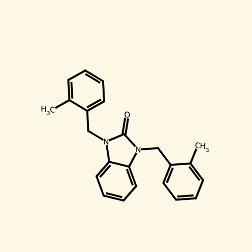 Cc1ccccc1Cn1c(=O)n(Cc2ccccc2C)c2ccccc21